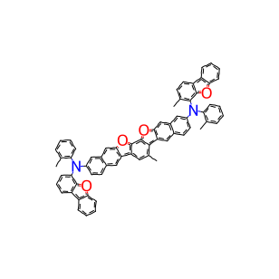 Cc1ccccc1N(c1ccc2cc3c(cc2c1)oc1c3cc(C)c2c3cc4ccc(N(c5ccccc5C)c5c(C)ccc6c5oc5ccccc56)cc4cc3oc12)c1cccc2c1oc1ccccc12